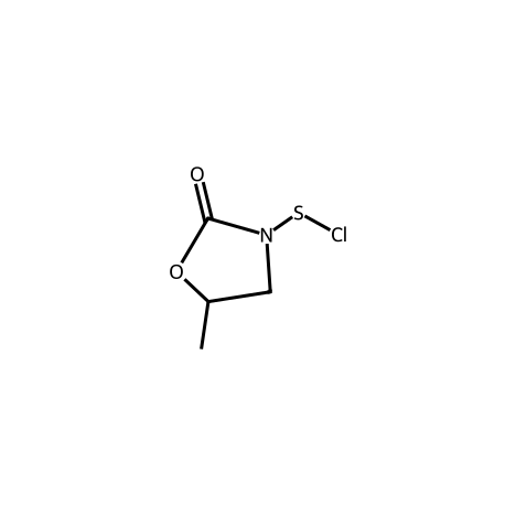 CC1CN(SCl)C(=O)O1